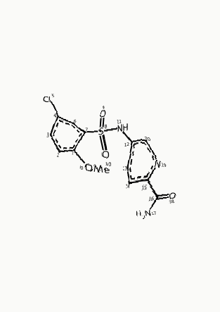 COc1ccc(Cl)cc1S(=O)(=O)Nc1ccc(C(N)=O)nc1